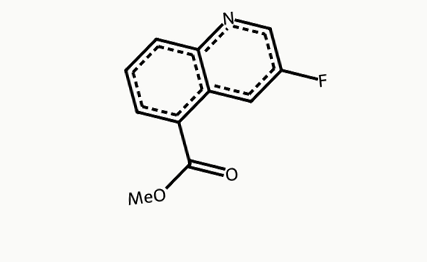 COC(=O)c1cccc2ncc(F)cc12